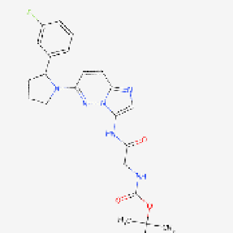 CC(C)(C)OC(=O)NCC(=O)Nc1cnc2ccc(N3CCCC3c3cccc(F)c3)nn12